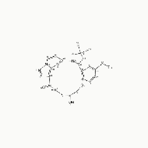 O=C1NCC(O)COc2ccc(CF)cc2C2CC(F)(F)CN2c2ccn3ncc1c3n2